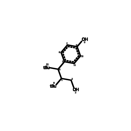 CC(C)(C)C(CO)C(c1ccc(O)cc1)C(C)(C)C